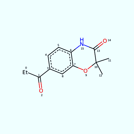 CCC(=O)c1ccc2c(c1)OC(C)(C)C(=O)N2